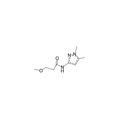 COCCC(=O)Nc1cc(C)n(C)n1